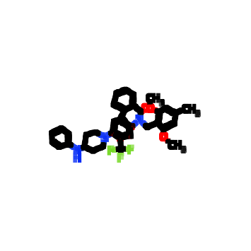 COc1cc(C)cc(OC)c1CN(C(=O)c1ccccc1-c1ccc(C(F)(F)F)cc1)c1ccc(N2CCC(Nc3ccccc3)CC2)cc1